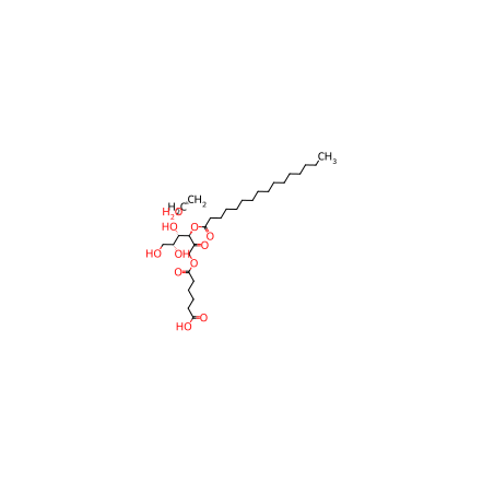 C=C.CCCCCCCCCCCCCCCC(=O)O[C@@H](C(=O)COC(=O)CCCCC(=O)O)[C@@H](O)[C@H](O)CO.O